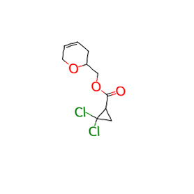 O=C(OCC1CC=CCO1)C1CC1(Cl)Cl